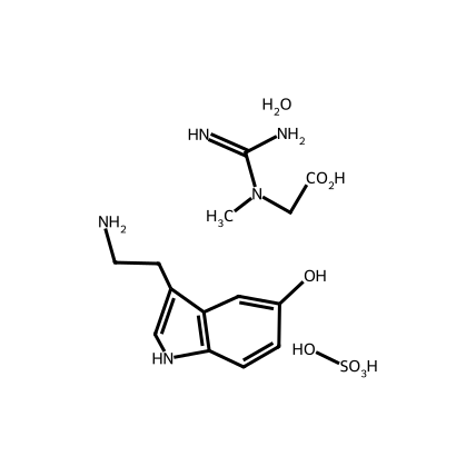 CN(CC(=O)O)C(=N)N.NCCc1c[nH]c2ccc(O)cc12.O.O=S(=O)(O)O